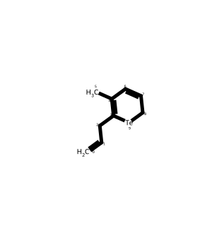 C=CCC1=C(C)C=CC[Te]1